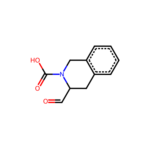 O=CC1Cc2ccccc2CN1C(=O)O